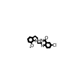 COc1cccc2c1N(Cc1nc3ccc(Cl)cc3c(=O)[nH]1)CC2